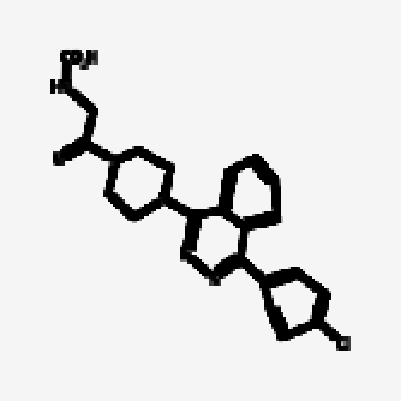 O=C(O)NCC(=O)N1CCN(c2nnc(-c3ccc(Cl)cc3)c3ccccc23)CC1